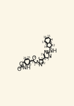 O=C(Cn1cc(-c2cnc(NC3Cc4ccccc4C3)nc2)cn1)c1ccc2oc(=O)[nH]c2c1